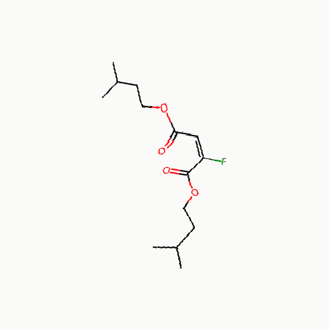 CC(C)CCOC(=O)/C=C(/F)C(=O)OCCC(C)C